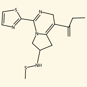 C=C(CC)C1=C2CC(NSC)CN2C(c2nccs2)=NC1